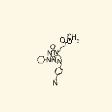 COC(=O)CCCN1C(=O)N=C(NC2CCCCC2)C12CCN(Cc1ccc(C#N)cc1)CC2